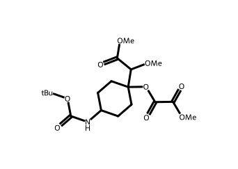 COC(=O)C(=O)OC1(C(OC)C(=O)OC)CCC(NC(=O)OC(C)(C)C)CC1